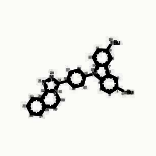 CCCCc1ccc2c(c1)c1cc(CCCC)ccc1n2-c1ccc(-c2nnc3c4ccccc4ccn23)cc1